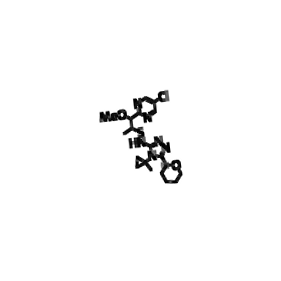 COC(c1ncc(Cl)cn1)C(C)SNc1nnc([C@@H]2CCCCO2)n1C1(C)CC1